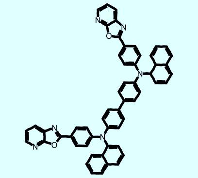 C1=CC2=CC=CC(N(c3ccc(-c4ccc(N(c5ccc(-c6nc7cccnc7o6)cc5)c5cccc6ccccc56)cc4)cc3)c3ccc(-c4nc5cccnc5o4)cc3)C2C=C1